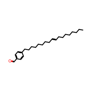 CCCCCCCCC=CCCCCCCCCc1ccc(C=O)cc1